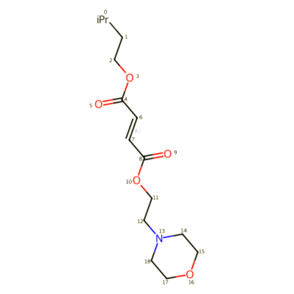 CC(C)CCOC(=O)/C=C/C(=O)OCCN1CCOCC1